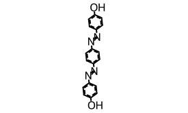 Oc1ccc(N=Nc2ccc(N=Nc3ccc(O)cc3)cc2)cc1